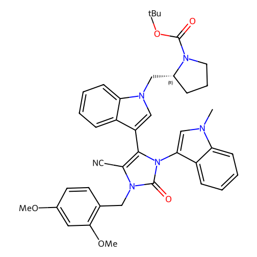 COc1ccc(Cn2c(C#N)c(-c3cn(C[C@H]4CCCN4C(=O)OC(C)(C)C)c4ccccc34)n(-c3cn(C)c4ccccc34)c2=O)c(OC)c1